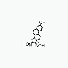 C[C@]12CCC3c4ccc(O)cc4CCC3C1CC(=N\O)/C2=N/O